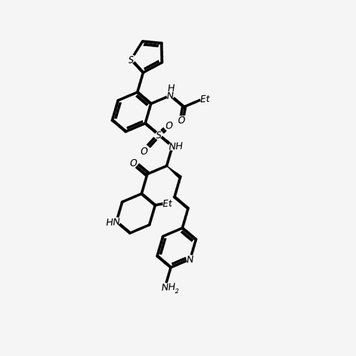 CCC(=O)Nc1c(-c2cccs2)cccc1S(=O)(=O)N[C@@H](CCCc1ccc(N)nc1)C(=O)C1CNCCC1CC